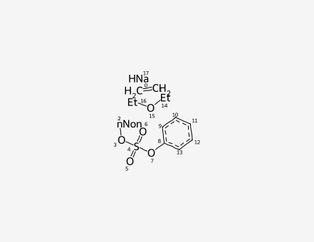 C=C.CCCCCCCCCOS(=O)(=O)Oc1ccccc1.CCOCC.[NaH]